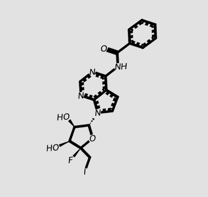 O=C(Nc1ncnc2c1ccn2[C@@H]1O[C@](F)(CI)[C@@H](O)[C@H]1O)c1ccccc1